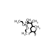 CCO[SiH](OCC)C(C)C(C)C(C)CC(F)C(F)F